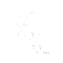 CNc1ncnc(-c2cccnc2Oc2cc(C(=O)Nc3cc(C(C)C)ccc3C)ccc2C)n1